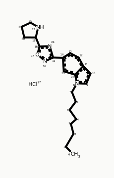 CCCCCCCCn1ccc2ccc(-c3noc(C4CCCN4)n3)cc21.Cl